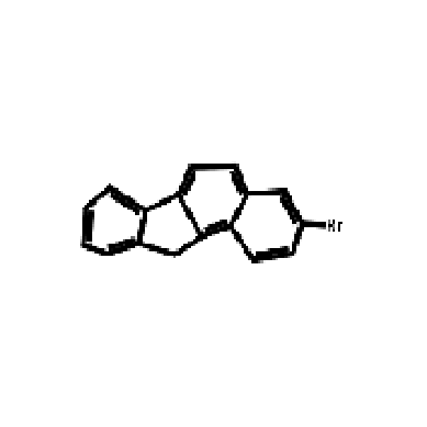 Brc1ccc2c3c(ccc2c1)-c1ccccc1C3